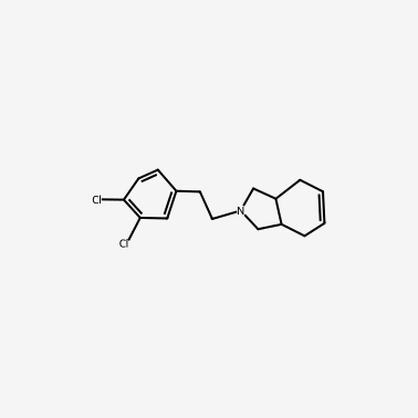 Clc1ccc(CCN2CC3CC=CCC3C2)cc1Cl